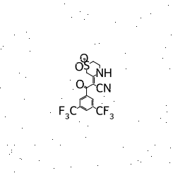 N#C/C(C(=O)c1cc(C(F)(F)F)cc(C(F)(F)F)c1)=C1/CS(=O)(=O)CCN1